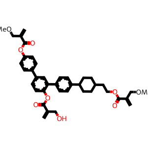 C=C(COC)C(=O)OCCC1CCC(c2ccc(-c3cc(-c4ccc(OC(=O)C(=C)COC)cc4)ccc3OC(=O)C(=C)CO)cc2)CC1